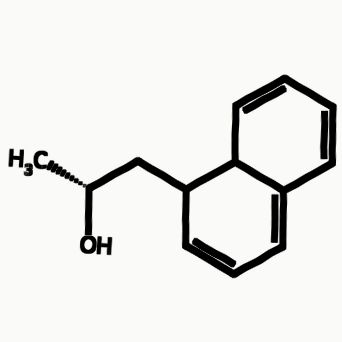 C[C@@H](O)CC1C=CC=C2C=CC=CC21